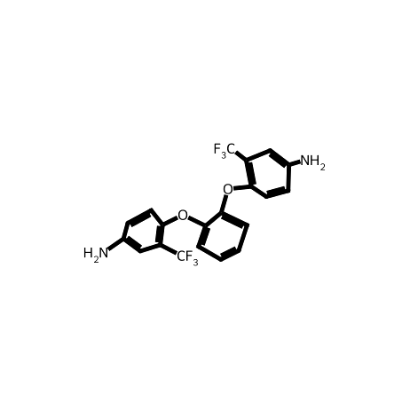 Nc1ccc(Oc2ccccc2Oc2ccc(N)cc2C(F)(F)F)c(C(F)(F)F)c1